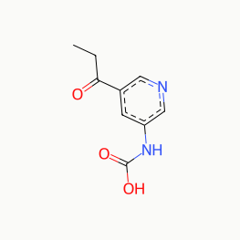 CCC(=O)c1cncc(NC(=O)O)c1